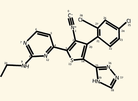 [C-]#[N+]c1c(-c2ccnc(NCC)n2)sc(-c2nnc[nH]2)c1-c1ccc(Cl)cc1Cl